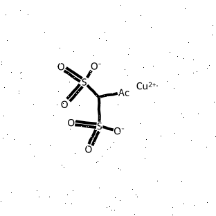 CC(=O)C(S(=O)(=O)[O-])S(=O)(=O)[O-].[Cu+2]